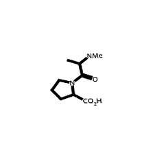 CNC(C)C(=O)N1CCCC1C(=O)O